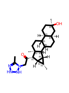 CC1=NNNN1CC(=O)[C@H]1[C@H]2[C@@H](C)[C@H]2[C@H]2[C@@H]3CC[C@@H]4C[C@](C)(O)CC[C@@H]4[C@H]3CC[C@@]21C